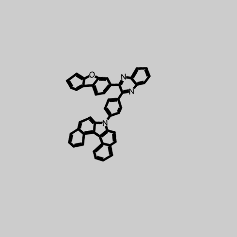 c1ccc2c(c1)ccc1c2c2c3ccccc3ccc2n1-c1ccc(-c2nc3ccccc3nc2-c2ccc3c(c2)oc2ccccc23)cc1